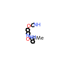 COc1ccccc1C(=O)Nc1cc2cc(OC3CCNCC3)ccc2cn1